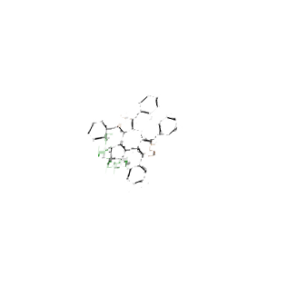 Cc1c(-c2ccccc2)sc(-c2ccccc2)c1C1=C(c2c(-c3ccccc3)sc(-c3ccccc3)c2C)C(F)(F)C(F)(F)C1(F)F